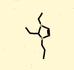 CCCN1C=CN(CC)C1CC